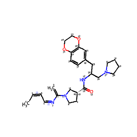 C=C(/N=C\C=C/C)N1CC[C@@H](C(=O)NC(Cc2ccc3c(c2)OCCO3)CN2CCCC2)C1